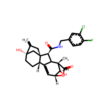 C=C1C[C@]23C[C@@]1(O)CC[C@H]2C1=C[C@H]2OC(=O)[C@@](C)(C1[C@@H]3C(=O)NCc1ccc(F)c(Cl)c1)[C@H]2O